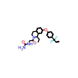 C=CC(F)(F)c1ccc(Oc2ccc3c(c2)C(CC)N(C(=O)CNC(N)=O)CC3)cc1